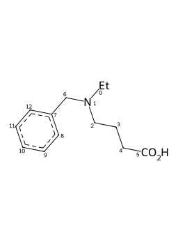 CCN(CCCC(=O)O)Cc1ccccc1